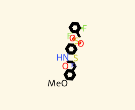 COc1ccc(/C=C2/Sc3cc(S(=O)(=O)Cc4c(F)cccc4F)ccc3NC2=O)cc1